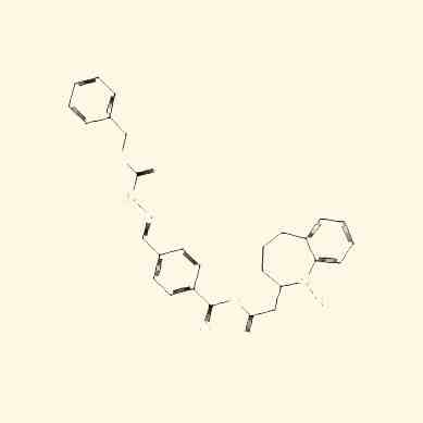 NN1c2ccccc2CCCC1CC(=O)OC(=O)c1ccc(C=NNC(=O)OCc2ccccc2)cc1